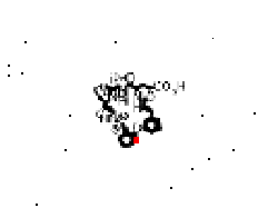 CC(C)C(NC(=O)C(CCC(=O)O)NC(=O)CCc1ccccc1)C(=O)NC(CC(=O)O)C(=O)CNS(=O)(=O)CC12CCC(CC1=O)C2(C)C